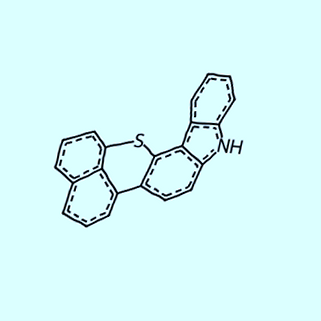 c1cc2c3c(cccc3c1)-c1ccc3[nH]c4ccccc4c3c1S2